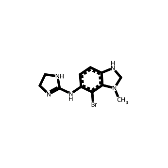 CN1CNc2ccc(NC3=NCCN3)c(Br)c21